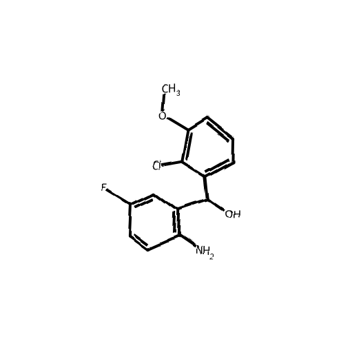 COc1cccc(C(O)c2cc(F)ccc2N)c1Cl